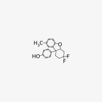 Cc1ccc2c(c1)C1(c3ccc(O)cc3)CCC(F)(F)CC1O2